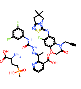 C#CCN1C(=O)COc2cc(F)c(/N=c3\snc4n3CC(C)(C)C4)cc21.C/C(=N\NC(=O)Nc1cc(F)cc(F)c1)c1ncccc1C(=O)O.CP(=O)(O)CCC(N)C(=O)O